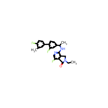 CCN1Cc2c(NC(C)c3ccc(-c4ccc(F)c(C)c4)c(F)c3)ncc(F)c2C1=O